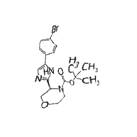 CC(C)(C)OC(=O)N1CCOC[C@H]1c1ncc(-c2ccc(Br)cc2)[nH]1